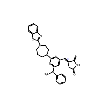 CN(c1ccccc1)c1cc(/C=C2\SC(=O)NC2=O)nc(N2CCCN(c3nc4ccccc4o3)CC2)n1